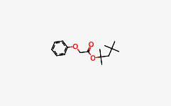 CC(C)(C)CC(C)(C)OC(=O)COc1ccccc1